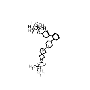 CC(C)(C)OC(=O)N1CC2(CC[C@@H](N3CCC(c4ccccc4C4=CCC(O[Si](C)(C)C(C)(C)C)CC4)CC3)C2)C1